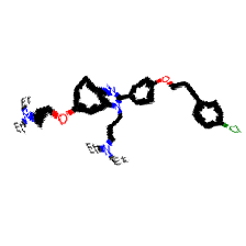 CCN(CC)CCCn1c(-c2ccc(OCCc3ccc(Cl)cc3)cc2)nc2ccc(OCCN(CC)CC)cc21